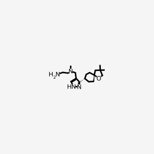 CN(CCN)Cc1c[nH]nc1[C@H]1CC[C@@]2(CC1)CC(C)(C)CO2